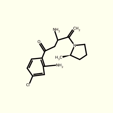 C=C(C(N)CC(=O)c1ccc(Cl)cc1N)N1CCC[C@H]1C